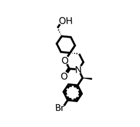 C[C@@H](c1ccc(Br)cc1)N1CC[C@]2(CC[C@@H](CO)CC2)OC1=O